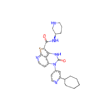 O=C(N[C@@H]1CCCNC1)c1sc2nccc3c2c1NC(=O)N3c1ccnc(C2CCCCC2)c1